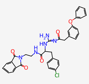 NC(=NC(=O)Cc1cccc(Oc2ccccc2)c1)NC(Cc1ccc(Cl)cc1)C(=O)NCCN1C(=O)c2ccccc2C1=O